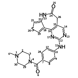 CN1CCN(C(=O)c2ccc(Nc3ncc4c(n3)-c3cscc3NC(=O)C4)cc2)CC1